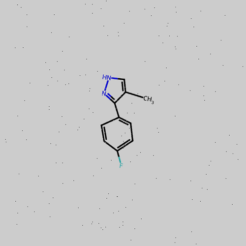 Cc1c[nH]nc1-c1ccc(F)cc1